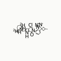 [2H]C1([2H])CC[C@H](C)C([2H])([2H])N1Cc1cc2c(Cl)cn(-c3cccc(C4(c5nncn5C)CC(C)C4)c3)c(=O)c2[nH]1